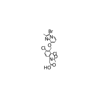 CC(=O)N(CC(=O)O)c1ccc(Cl)c(COc2cccn3c(Br)c(C)nc23)c1Cl